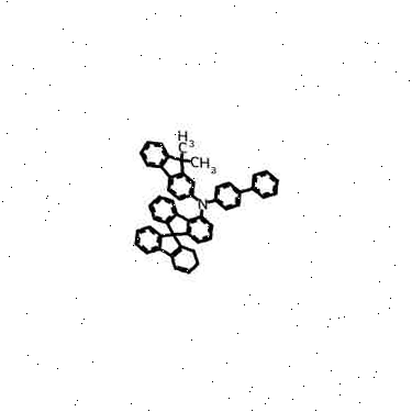 CC1(C)c2ccccc2-c2ccc(N(c3ccc(-c4ccccc4)cc3)c3cccc4c3-c3ccccc3C43C4=C(C=CCC4)c4ccccc43)cc21